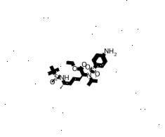 CCOC(=O)[C@H](CCC[C@H](C)N[S@@+]([O-])C(C)(C)C)N(C(C)C)S(=O)(=O)c1ccc(N)cc1